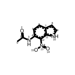 CC(=O)Nc1ccc2c[c][nH]c2c1[N+](=O)[O-]